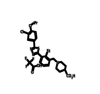 CCc1c(CN2CCC(C(=O)O)CC2)cccc1-c1nnc(-c2ccc(OC(C)C)c(Cl)c2)s1.O=C(O)C(F)(F)F